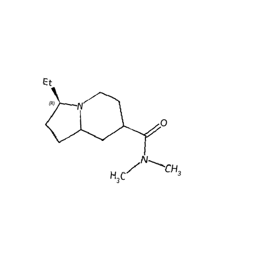 CC[C@@H]1CCC2CC(C(=O)N(C)C)CCN21